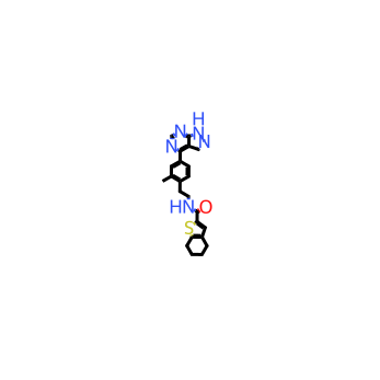 Cc1cc(-c2ncnc3[nH]ncc23)ccc1CCNC(=O)c1cc2c(s1)CCCC2